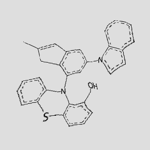 CC1=Cc2cc(-n3ccc4ccccc43)cc(N3c4ccccc4Sc4cccc(O)c43)c2C1